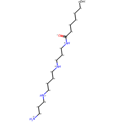 CCCCCCCCCCCCCCCC(=O)NCCCNCCCCNCCCN